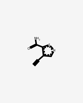 C#Cc1cnsc1C(N)=O